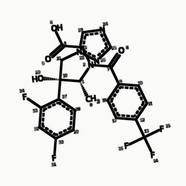 C[C@@H](N(CC(=O)O)C(=O)c1ccc(C(F)(F)F)cc1)[C@](O)(Cn1cncn1)c1ccc(F)cc1F